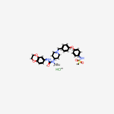 CCCCN(C(=O)Nc1ccc2c(c1)OCCO2)C1CCN(Cc2ccc(Oc3ccc(NS(C)(=O)=O)cc3)cc2)CC1.Cl